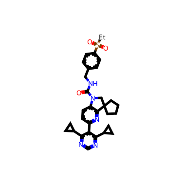 CCS(=O)(=O)c1ccc(CNC(=O)N2CC3(CCCC3)c3nc(-c4c(C5CC5)ncnc4C4CC4)ccc32)cc1